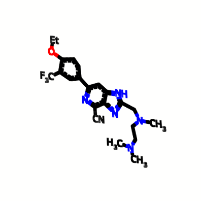 CCOc1ccc(-c2cc3[nH]c(CN(C)CCN(C)C)nc3c(C#N)n2)cc1C(F)(F)F